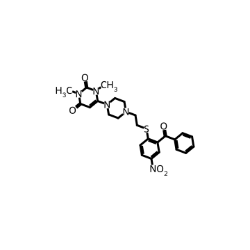 Cn1c(N2CCN(CCSc3ccc([N+](=O)[O-])cc3C(=O)c3ccccc3)CC2)cc(=O)n(C)c1=O